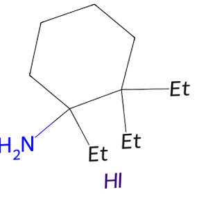 CCC1(N)CCCCC1(CC)CC.I